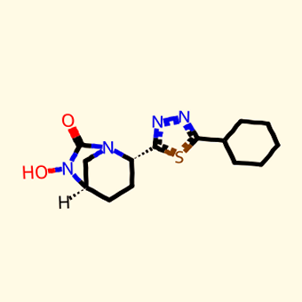 O=C1N(O)[C@@H]2CC[C@@H](c3nnc(C4CCCCC4)s3)N1C2